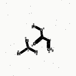 C=CC(=O)OC(C)C.CCN(CC)CC